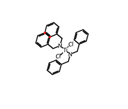 [Cl][Ti]([Cl])([N](Cc1ccccc1)Cc1ccccc1)[N](Cc1ccccc1)Cc1ccccc1